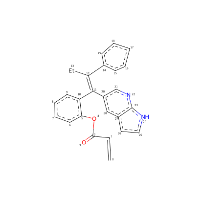 C=CC(=O)Oc1ccccc1/C(=C(\CC)c1ccccc1)c1cnc2[nH]ccc2c1